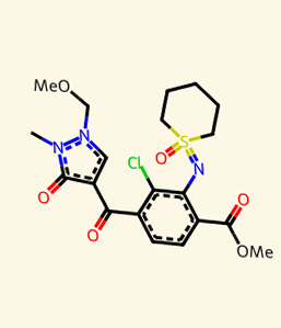 COCn1cc(C(=O)c2ccc(C(=O)OC)c(N=S3(=O)CCCCC3)c2Cl)c(=O)n1C